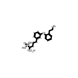 CC(C)CCc1ccccc1Oc1cccc(CCCC(P(=O)(O)O)S(=O)(=O)O)c1